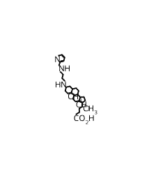 C[C@H](CCCC(=O)O)C1CCC2C3CCC4C[C@@H](NCCCCNCc5ccccn5)CC[C@]4(C)C3CC[C@@]21C